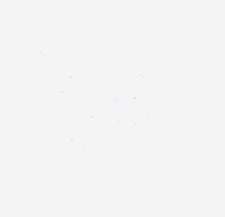 Fc1ccc(-c2ccnc3[nH]c(-c4n[nH]c5ccc(C6CCNCC6)cc45)nc23)s1